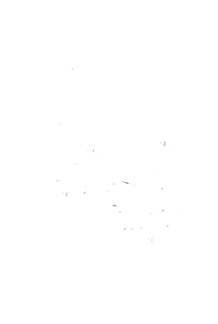 CN[C@@H]1[C@@H](O)[C@@H](O[C@H]2[C@H](NC(=O)C3(O)CC3N)C[C@H](N)C([C@H]3OC(CNCC(O)CO)=CC[C@H]3N)[C@@H]2O)OC[C@]1(C)O